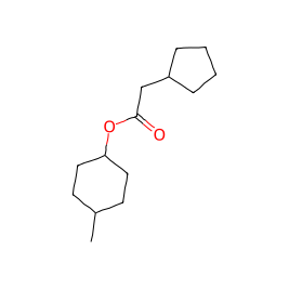 CC1CCC(OC(=O)CC2CCCC2)CC1